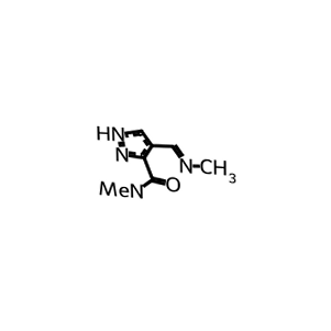 C/N=C/c1c[nH]nc1C(=O)NC